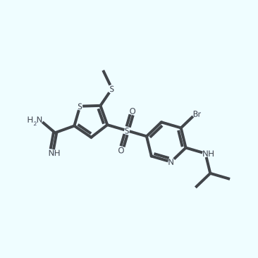 CSc1sc(C(=N)N)cc1S(=O)(=O)c1cnc(NC(C)C)c(Br)c1